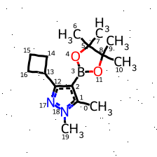 Cc1c(B2OC(C)(C)C(C)(C)O2)c(C2CCC2)nn1C